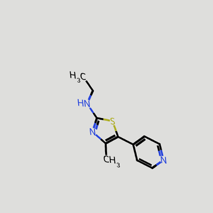 CCNc1nc(C)c(-c2ccncc2)s1